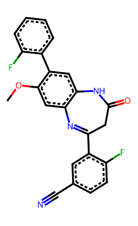 COc1cc2c(cc1-c1ccccc1F)NC(=O)CC(c1cc(C#N)ccc1F)=N2